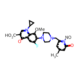 COc1c(N2CCN(Cc3cc(C)cc(=O)n3N=O)CC2)c(F)cc2c(=O)c(C(=O)O)cn(C3CC3)c12